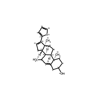 CC1C=C2CC(O)CC[C@]2(C)[C@@H]2CC[C@]3(C)C(c4cccs4)=CC[C@H]3[C@H]12